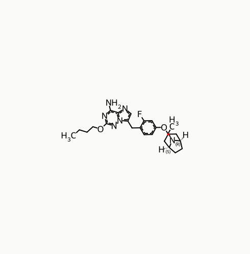 CCCCOc1nc(N)c2ncc(Cc3ccc(OC4C[C@H]5CC[C@@H](C4)N5CC)cc3F)n2n1